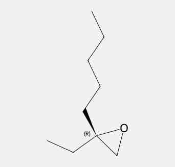 CCCCC[C@]1(CC)CO1